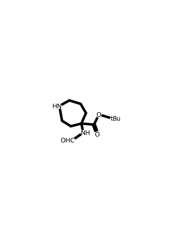 CC(C)(C)OC(=O)C1(NC=O)CCCNCC1